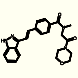 CN(CC(=O)N1CCOCC1)C(=O)c1ccc(C=Cc2n[nH]c3ccccc23)cc1